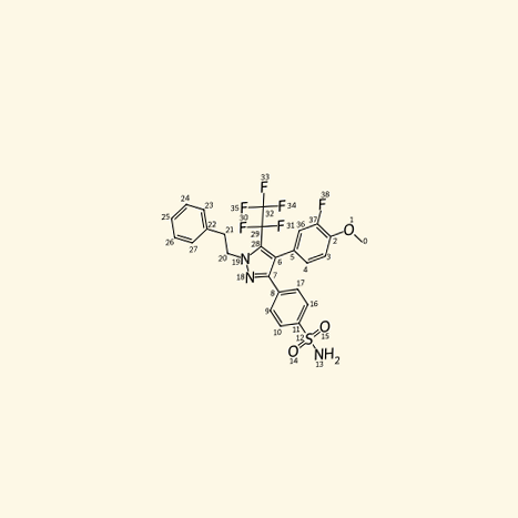 COc1ccc(-c2c(-c3ccc(S(N)(=O)=O)cc3)nn(CCc3ccccc3)c2C(F)(F)C(F)(F)F)cc1F